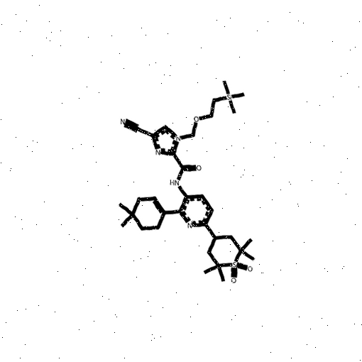 CC1(C)CC=C(c2nc(C3CC(C)(C)S(=O)(=O)C(C)(C)C3)ccc2NC(=O)c2nc(C#N)cn2COCC[Si](C)(C)C)CC1